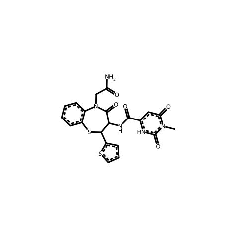 Cn1c(=O)cc(C(=O)NC2C(=O)N(CC(N)=O)c3ccccc3SC2c2cccs2)[nH]c1=O